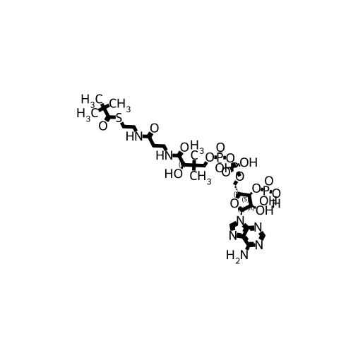 CC(C)(C)C(=O)SCCNC(=O)CCNC(=O)[C@H](O)C(C)(C)COP(=O)(O)OP(=O)(O)OC[C@H]1O[C@@H](n2cnc3c(N)ncnc32)[C@H](O)[C@@H]1OP(=O)(O)O